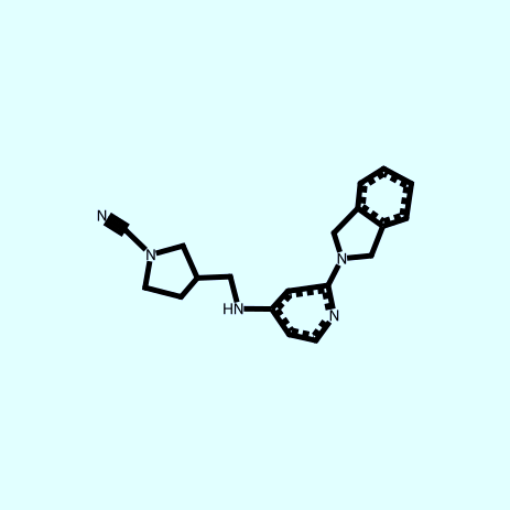 N#CN1CCC(CNc2ccnc(N3Cc4ccccc4C3)c2)C1